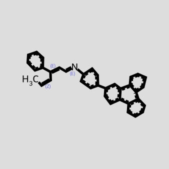 C\C=C/C(=C\C=N\c1ccc(-c2ccc3c4ccccc4c4ccccc4c3c2)cc1)c1ccccc1